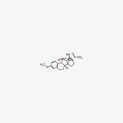 COc1ccc2c(c1)CC[C@@H]1[C@@H]2CC[C@@]2(C)C13CC[C@]2(C(C)=O)[C@H](O)[C@@H]3O